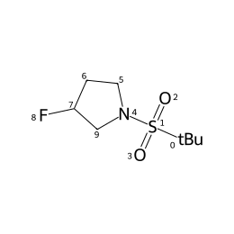 CC(C)(C)S(=O)(=O)N1CCC(F)C1